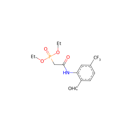 CCOP(=O)(CC(=O)Nc1cc(C(F)(F)F)ccc1C=O)OCC